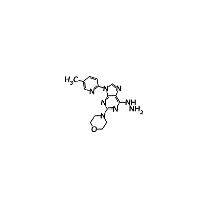 Cc1ccc(-n2cnc3c(NN)nc(N4CCOCC4)nc32)nc1